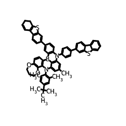 Cc1cc2c3c(c1)N(c1c(C)cc(C(C)(C)C)cc1C)c1c(ccc4c1OCCCO4)B3c1cc(-c3ccc4c5c(sc4c3)CCC=C5)ccc1N2c1ccc(-c2ccc3c(c2)sc2ccccc23)cc1